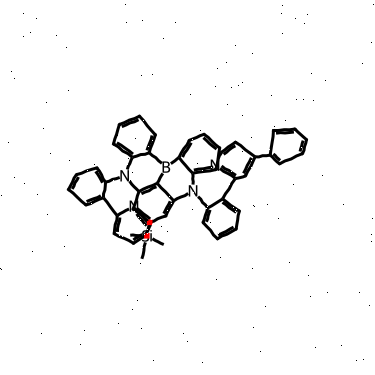 C[Si](C)(C)c1cc2c3c(c1)N(c1ccccc1-c1cc(-c4ccccc4)ccn1)c1ccccc1B3c1ccccc1N2c1ccccc1-c1ccccn1